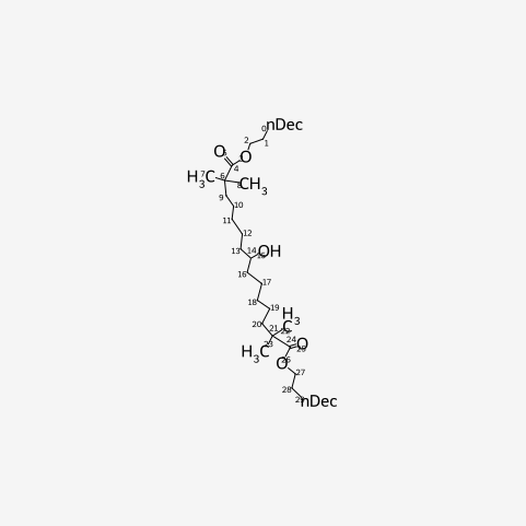 CCCCCCCCCCCCOC(=O)C(C)(C)CCCCCC(O)CCCCCC(C)(C)C(=O)OCCCCCCCCCCCC